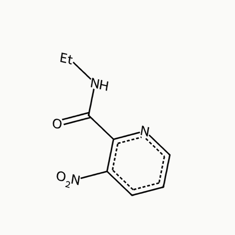 CCNC(=O)c1ncccc1[N+](=O)[O-]